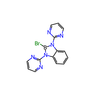 BrB1N(c2ncccn2)c2ccccc2N1c1ncccn1